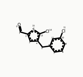 O=Cc1cc(Cc2cccc(Cl)c2)c(Cl)s1